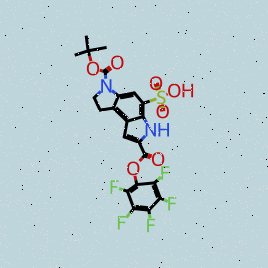 CC(C)(C)OC(=O)N1CCc2c1cc(S(=O)(=O)O)c1[nH]c(C(=O)Oc3c(F)c(F)c(F)c(F)c3F)cc21